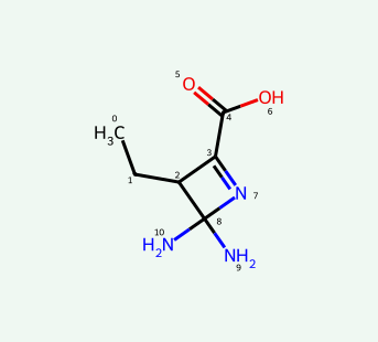 CCC1C(C(=O)O)=NC1(N)N